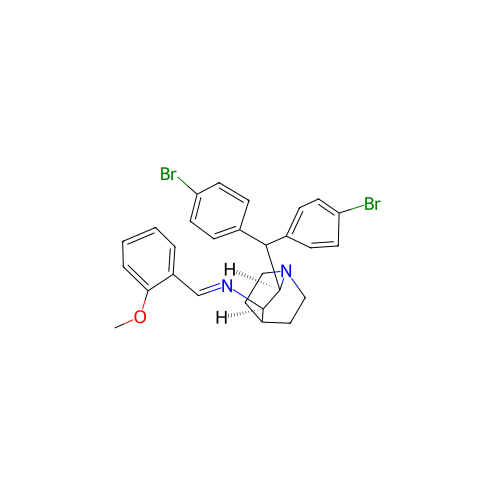 COc1ccccc1C=N[C@@H]1C2CCN(CC2)[C@@H]1C(c1ccc(Br)cc1)c1ccc(Br)cc1